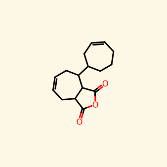 O=C1OC(=O)C2C1CC=CCC2C1CC=CCCC1